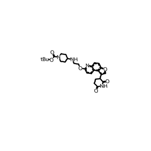 CC(C)(C)OC(=O)N1CCC(NCCOc2ccc3c(ccc4occ(C5CCC(=O)NC5=O)c43)n2)CC1